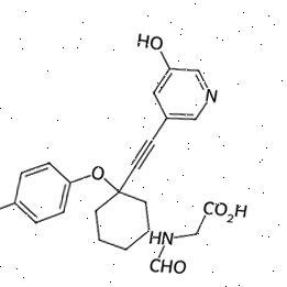 O=CNCC(=O)O.Oc1cncc(C#CC2(Oc3ccc(Cl)cc3)CCCCC2)c1